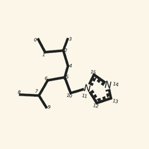 CCC(C)C[C](CC(C)C)Cn1ccnc1